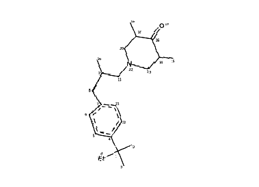 CCC(C)(C)c1ccc(CC(C)CN2CC(C)C(=O)C(C)C2)cc1